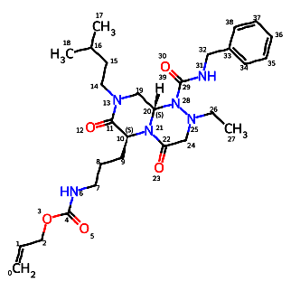 C=CCOC(=O)NCCC[C@H]1C(=O)N(CCC(C)C)C[C@H]2N1C(=O)CN(CC)N2C(=O)NCc1ccccc1